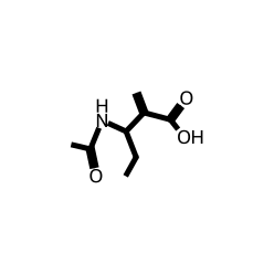 C=C(C(=O)O)C(CC)NC(C)=O